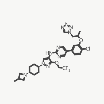 CC1CN([C@H]2CC[C@H](n3cc(Nc4ncc(-c5ccc(Cl)c(OC(C)Cn6cnnn6)c5)cn4)c(OCC(F)(F)F)n3)CC2)C1